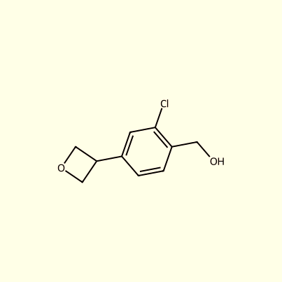 OCc1ccc(C2COC2)cc1Cl